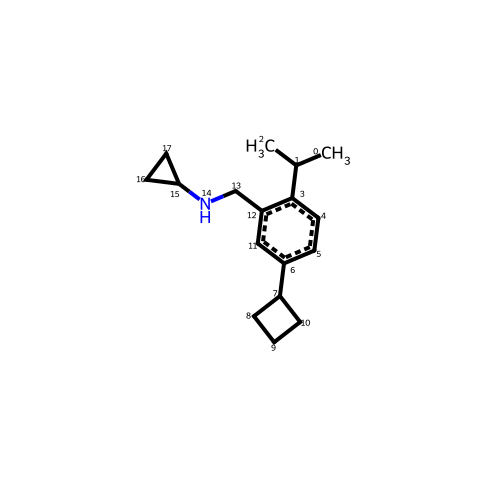 CC(C)c1ccc(C2CCC2)cc1CNC1CC1